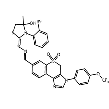 CC(C)c1ccccc1N1C(=NN=Cc2ccc3c(c2)S(=O)(=O)Cc2c-3ncn2-c2ccc(OC(F)(F)F)cc2)SCC1(C)O